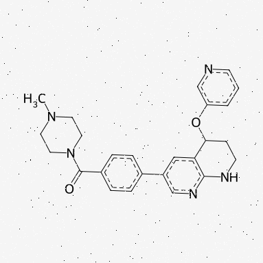 CN1CCN(C(=O)c2ccc(-c3cnc4c(c3)C(Oc3cccnc3)CCN4)cc2)CC1